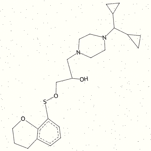 OC(COSc1cccc2c1OCCC2)CN1CCN(C(C2CC2)C2CC2)CC1